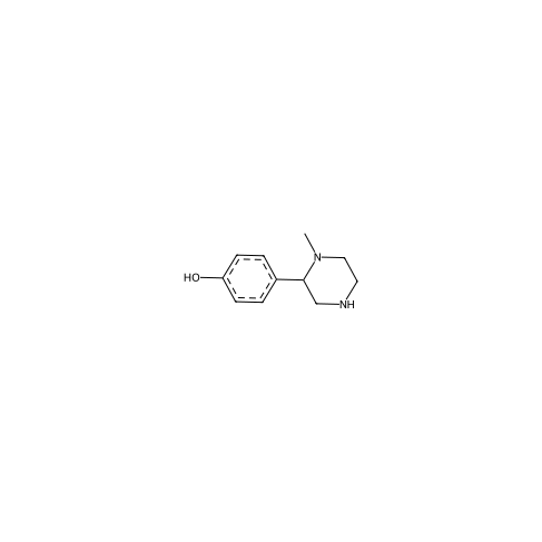 CN1CCNCC1c1ccc(O)cc1